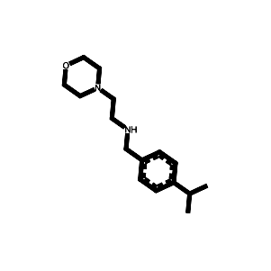 CC(C)c1ccc(CNCCN2CCOCC2)cc1